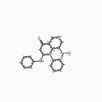 O=c1cc(Nc2ccccc2)n(-c2ccccc2)c2c([N+](=O)[O-])cncc12